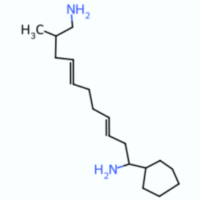 CC(CN)CC=CCCC=CCC(N)C1CCCCC1